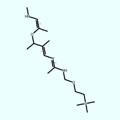 CN/C=C(/C)OC(C)/C(C)=C/N=C(\C)NCOCC[Si](C)(C)C